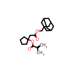 C=C(C)C(=O)OC1(CC(=O)OCC23CC4CC(CC(C4)C2)C3)CCCC1